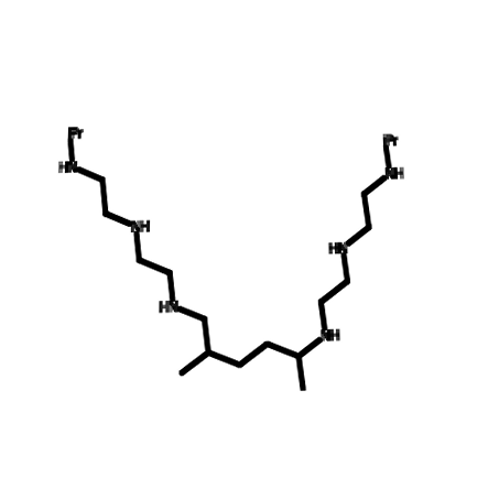 CC(CCC(C)NCCNCCNC(C)C)CNCCNCCNC(C)C